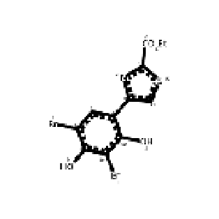 CCOC(=O)c1nc(-c2cc(Br)c(O)c(Br)c2O)cs1